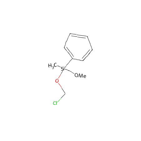 CO[Si](C)(OCCl)c1ccccc1